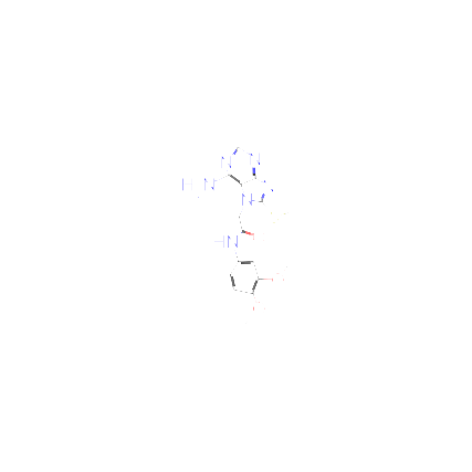 COc1ccc(NC(=O)Cn2c(SC)nc3ncnc(N)c32)cc1OC